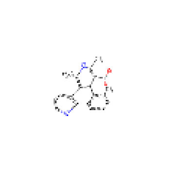 CC1=C(C(=O)O)C(c2ccccc2C)C(c2cccnc2)=C(C)N1